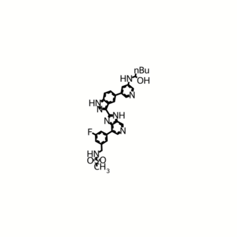 CCCCC(O)Nc1cncc(-c2ccc3[nH]nc(-c4nc5c(-c6cc(F)cc(CNS(C)(=O)=O)c6)cncc5[nH]4)c3c2)c1